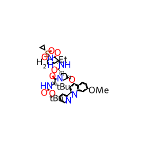 C=C[C@@](CC)(NC(=O)[C@@H]1C[C@@H](Oc2cc(-c3ccccn3)nc3cc(OC)ccc23)CN1C(=O)[C@@H](NC(=O)OC(C)(C)C)C(C)(C)C)C(=O)NS(=O)(=O)C1CC1